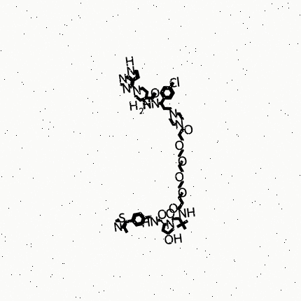 Cc1ncsc1-c1ccc(CNC(=O)[C@@H]2C[C@@H](O)CN2C(=O)C(NC(=O)CCOCCOCCOCCOCCC(=O)N2CCN(CCC(NC(=O)C3(N)CCN(c4ncnc5[nH]ccc45)CC3)c3ccc(Cl)cc3)CC2)C(C)(C)C)cc1